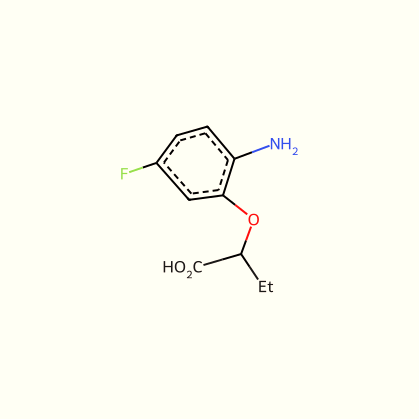 CCC(Oc1cc(F)ccc1N)C(=O)O